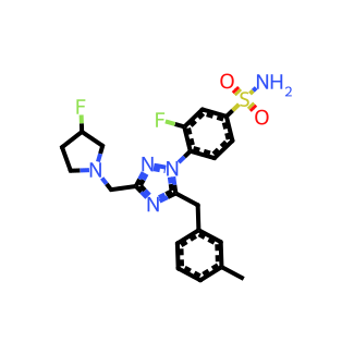 Cc1cccc(Cc2nc(CN3CCC(F)C3)nn2-c2ccc(S(N)(=O)=O)cc2F)c1